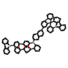 c1ccc(-c2ccc(-c3ccccc3N(c3ccc(-c4ccc(-n5c6ccccc6c6ccccc65)cc4)cc3)c3ccc4cc(-c5ccc6c(c5)C5(c7ccccc7-6)c6ccccc6-n6c7ccccc7c7cccc5c76)ccc4c3)cc2)cc1